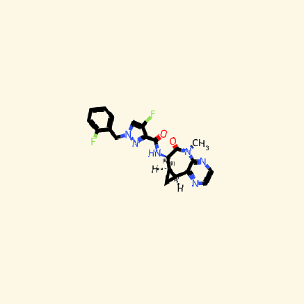 CN1C(=O)[C@H](NC(=O)c2nn(Cc3ccccc3F)cc2F)[C@@H]2C[C@@H]2c2nccnc21